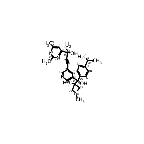 Cc1cc([C@@](C)(O)C#Cc2cncc([C@@](O)(c3ccc(C(C)C)cc3)C3(C)CN(C)C3)c2)nc(C)n1